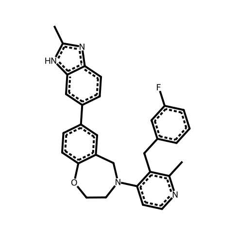 Cc1nc2ccc(-c3ccc4c(c3)CN(c3ccnc(C)c3Cc3cccc(F)c3)CCO4)cc2[nH]1